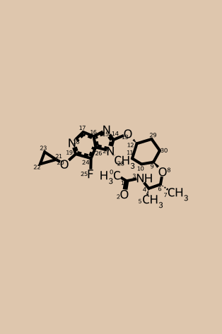 CC(=O)N[C@@H](C)[C@@H](C)O[C@H]1CC[C@H](Oc2nc3cnc(OC4CC4)c(F)c3n2C)CC1